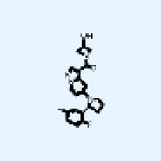 O=C(c1cnn2ccc(N3CCC[C@H]3c3cc(F)ccc3F)cc12)N1CC(O)C1